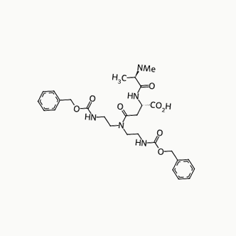 CN[C@H](C)C(=O)N[C@@H](CC(=O)N(CCNC(=O)OCc1ccccc1)CCNC(=O)OCc1ccccc1)C(=O)O